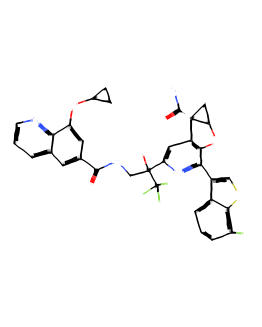 NC(=O)[C@@]12CC1Oc1c2cc(C(O)(CNC(=O)c2cc(OC3CC3)c3ncccc3c2)C(F)(F)F)nc1-c1csc2c(F)cccc12